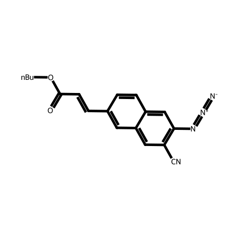 CCCCOC(=O)/C=C/c1ccc2cc(N=[N+]=[N-])c(C#N)cc2c1